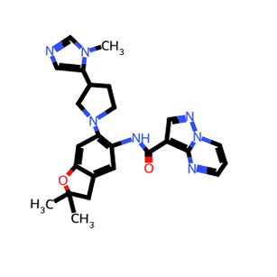 Cn1cncc1C1CCN(c2cc3c(cc2NC(=O)c2cnn4cccnc24)CC(C)(C)O3)C1